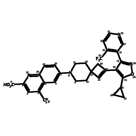 O=C(O)c1cc(C(F)(F)F)c2cc(N3CCC4(C=C(c5c(-c6cnccc6C(F)(F)F)noc5C5CC5)C4)CC3)ccc2n1